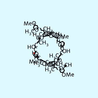 C#C[C@H]1C[C@@H](OC)C[C@H](CC[C@@H](C)[C@H](O)[C@@H](C)[C@H]2OC(=O)/C(C)=C/C[C@H](O)C[C@@H]3C=CC[C@@H](CC(OC)[C@@H](C)[C@@H](O)C[C@@H](O)[C@H](C)[C@@H]([C@@H](C)[C@@H](O)[C@@H](C)CC[C@H]4C[C@H](OC)C[C@H](C)O4)OC(=O)/C(C)=C/C[C@H](O)C[C@@H]4C=CC[C@@H](C[C@H](OC)[C@@H](C)[C@@H](O)C[C@@H](O)[C@@H]2C)O4)O3)O1